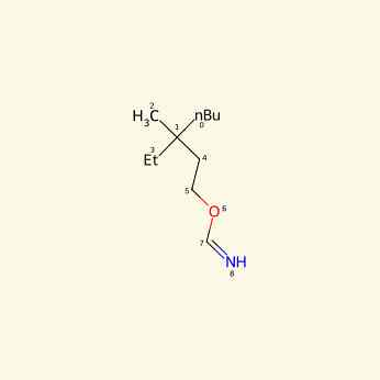 CCCCC(C)(CC)CCOC=N